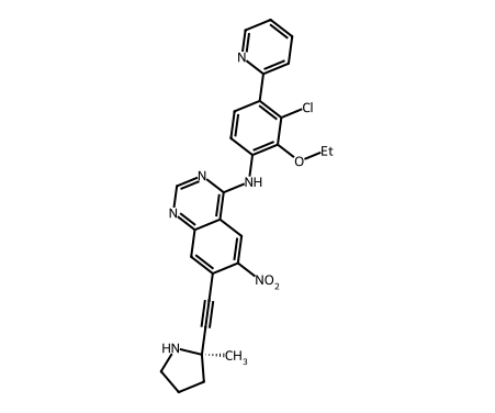 CCOc1c(Nc2ncnc3cc(C#C[C@@]4(C)CCCN4)c([N+](=O)[O-])cc23)ccc(-c2ccccn2)c1Cl